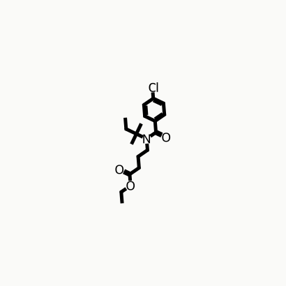 CCOC(=O)CCCN(C(=O)c1ccc(Cl)cc1)C(C)(C)CC